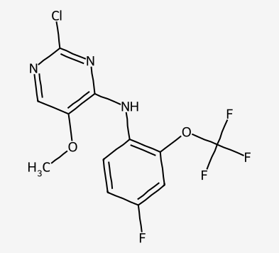 COc1cnc(Cl)nc1Nc1ccc(F)cc1OC(F)(F)F